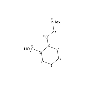 CCCCCCCOC1CCCCC1C(=O)O